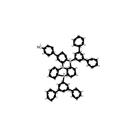 N#Cc1ccc(-c2ccc3c(c2)B2c4ccccc4N(c4cc(-c5ccccc5)cc(-c5ccccc5)c4)c4cccc(c42)N3c2cc(-c3ccccc3)cc(-c3ccccc3)c2)cc1